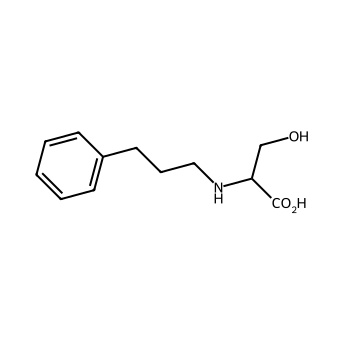 O=C(O)C(CO)NCCCc1ccccc1